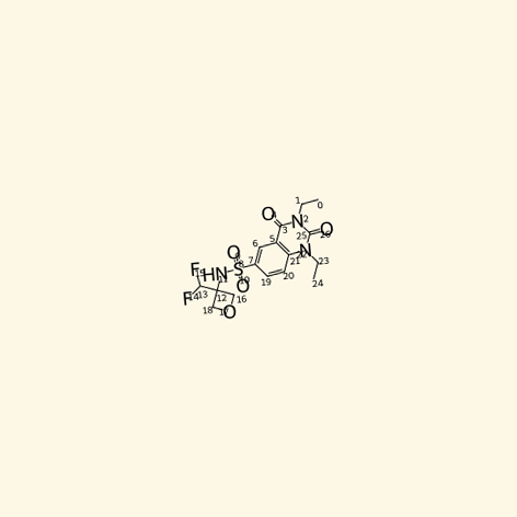 CCn1c(=O)c2cc(S(=O)(=O)NC3(C(F)F)COC3)ccc2n(CC)c1=O